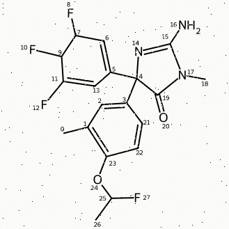 Cc1cc(C2(C3=CC(F)C(F)C(F)=C3)N=C(N)N(C)C2=O)ccc1OC(C)F